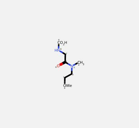 COCCN(C)C(=O)CNC(=O)O